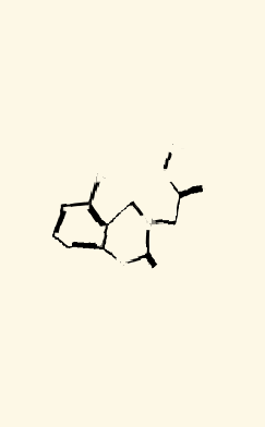 CC(C)(C)OC(=O)CN1Cc2c(Br)cccc2NC1=O